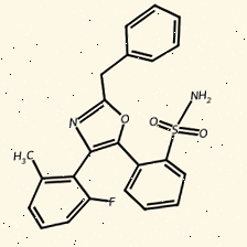 Cc1cccc(F)c1-c1nc(Cc2ccccc2)oc1-c1ccccc1S(N)(=O)=O